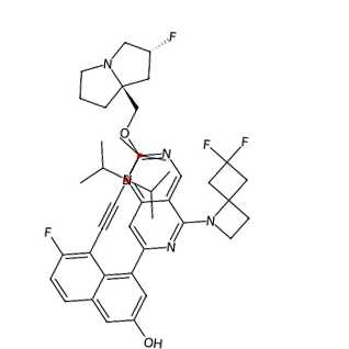 CC(C)[Si](C#Cc1c(F)ccc2cc(O)cc(-c3cc4nc(OC[C@@]56CCCN5C[C@H](F)C6)ncc4c(N4CCC45CC(F)(F)C5)n3)c12)(C(C)C)C(C)C